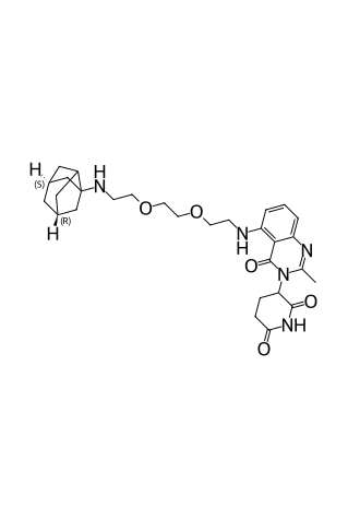 Cc1nc2cccc(NCCOCCOCCNC34C[C@@H]5CC3C[C@@H](C5)C4)c2c(=O)n1C1CCC(=O)NC1=O